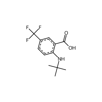 CC(C)(C)Nc1ccc(C(F)(F)F)cc1C(=O)O